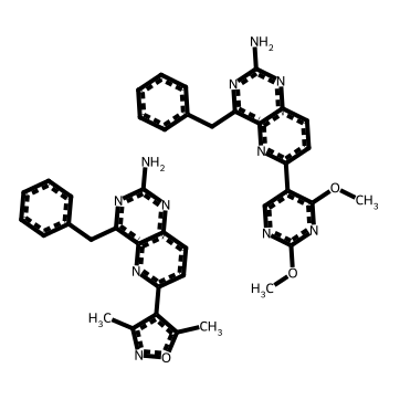 COc1ncc(-c2ccc3nc(N)nc(Cc4ccccc4)c3n2)c(OC)n1.Cc1noc(C)c1-c1ccc2nc(N)nc(Cc3ccccc3)c2n1